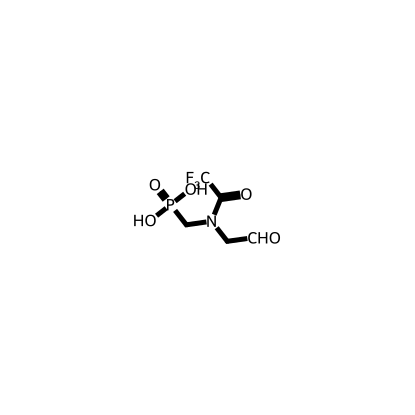 O=CCN(CP(=O)(O)O)C(=O)C(F)(F)F